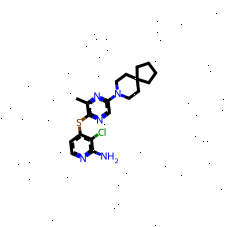 Cc1nc(N2CCC3(CCCC3)CC2)cnc1Sc1ccnc(N)c1Cl